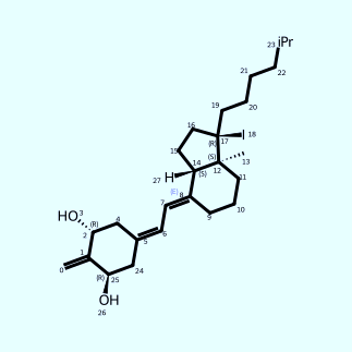 C=C1[C@H](O)CC(=C/C=C2\CCC[C@@]3(C)[C@H]2CC[C@]3(I)CCCCC(C)C)C[C@H]1O